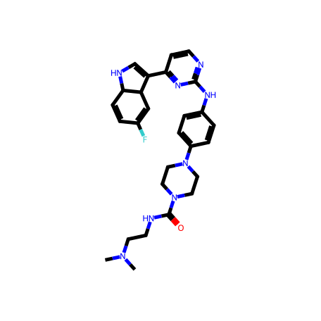 CN(C)CCNC(=O)N1CCN(c2ccc(Nc3nccc(C4=CNC5C=CC(F)=CC45)n3)cc2)CC1